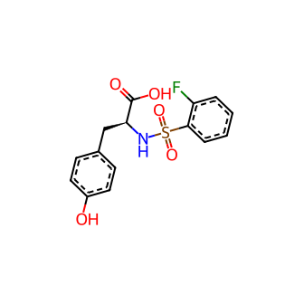 O=C(O)[C@H](Cc1ccc(O)cc1)NS(=O)(=O)c1ccccc1F